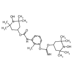 Cc1c(NC(=O)OC2CC(C)(C)N(O)C(C)(C)C2)cccc1OC(=N)OC1CC(C)(C)N(O)C(C)(C)C1